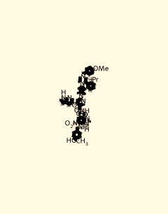 COc1ccc(CN2CCN(C3CC4(C3)CN(c3cc(Oc5cnc6[nH]ccc6c5)c(C(=O)NS(=O)(=O)c5cc([N+](=O)[O-])c(NCC6CCC(C)(O)CC6)c6[nH]cnc56)cn3)C4)C(c3ccccc3C(C)C)C2)cc1